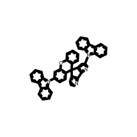 c1ccc2c(c1)Oc1cc(-n3c4ccccc4c4ccccc43)ccc1C21c2cccnc2-c2ncc(-n3c4ccccc4c4ccccc43)cc21